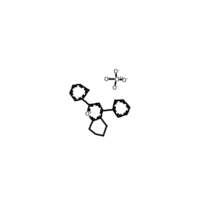 [O-][Cl+3]([O-])([O-])[O-].c1ccc(-c2cc(-c3ccccc3)c3c([o+]2)CCCC3)cc1